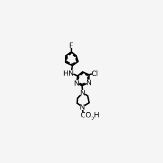 O=C(O)N1CCN(c2nc(Cl)cc(Nc3ccc(F)cc3)n2)CC1